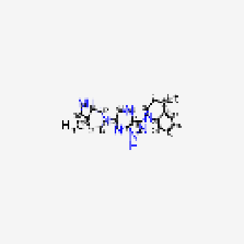 CC[C@H]1CCN(c2n[nH]c3nc(N4CCC(C)(CN)CC4)cnc23)c2ccccc21